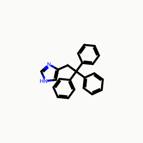 [CH](c1c[nH]cn1)C(c1ccccc1)(c1ccccc1)c1ccccc1